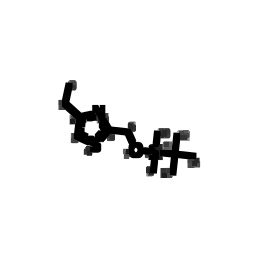 CCc1csc(CO[Si](C)(C)C(C)(C)C)n1